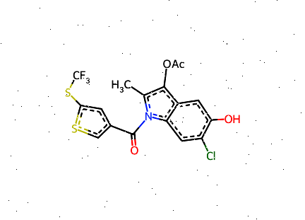 CC(=O)Oc1c(C)n(C(=O)c2csc(SC(F)(F)F)c2)c2cc(Cl)c(O)cc12